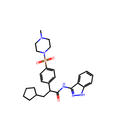 CN1CCN(S(=O)(=O)c2ccc(C(CC3CCCC3)C(=O)Nc3n[nH]c4ccccc34)cc2)CC1